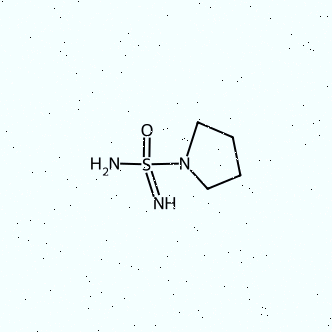 N=S(N)(=O)N1CCCC1